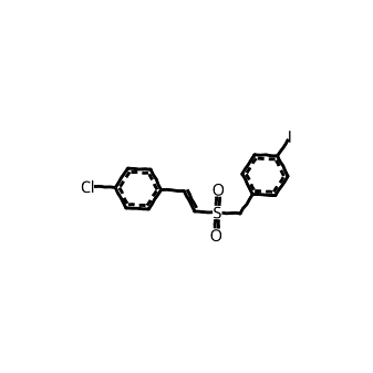 O=S(=O)(C=Cc1ccc(Cl)cc1)Cc1ccc(I)cc1